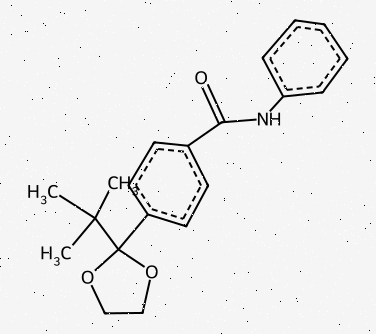 CC(C)(C)C1(c2ccc(C(=O)Nc3ccccc3)cc2)OCCO1